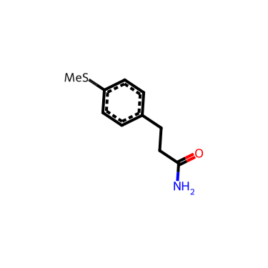 CSc1ccc(CCC(N)=O)cc1